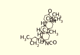 C=C(C)C[C@@H]1CC[C@]2(N=C=O)CC[C@]3(C)[C@H](CC[C@@H]4[C@@]5(C)CCC(=O)C(C)(C)[C@@H]5CC[C@]43C)[C@@H]12